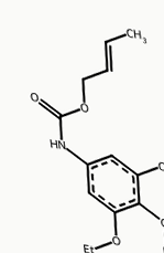 CC=CCOC(=O)Nc1cc(Cl)c(OCC)c(OCC)c1